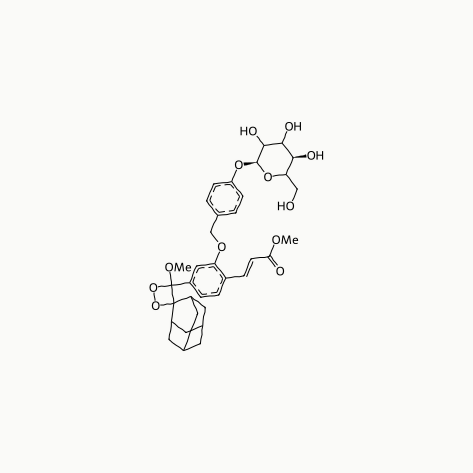 COC(=O)/C=C/c1ccc(C2(OC)OOC23C2CC4CC(C2)CC3C4)cc1OCc1ccc(O[C@@H]2OC(CO)[C@H](O)C(O)C2O)cc1